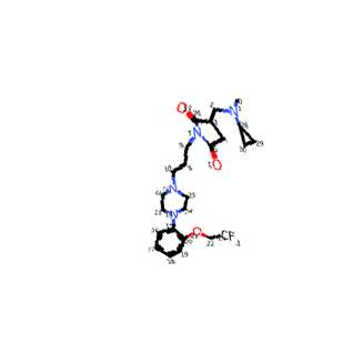 CN(CC1CC(=O)N(CCCN2CCN(c3ccccc3OCC(F)(F)F)CC2)C1=O)C1CC1